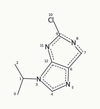 CC(C)n1cnc2cnc(Cl)nc21